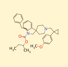 CCC(C)OC(=O)N(CCc1ccccc1)CC1(c2ccccc2)CCN(CC2(c3ccc(OC)cc3)CC2)CC1